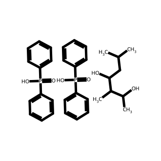 CC(C)CC(O)C(C)C(C)O.O=P(O)(c1ccccc1)c1ccccc1.O=P(O)(c1ccccc1)c1ccccc1